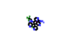 Nc1nccc(C(NCC(F)(F)F)C(c2cccnc2)(c2cccnc2)c2cccnc2F)n1